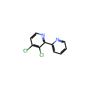 Clc1ccnc(-c2ccccn2)c1Cl